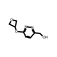 OCc1ccc(OC2COC2)nn1